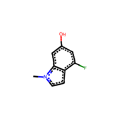 Cn1ccc2c(F)cc(O)cc21